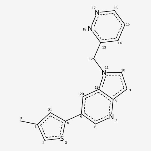 Cc1csc(-c2cnc3ccn(Cc4cccnn4)c3c2)c1